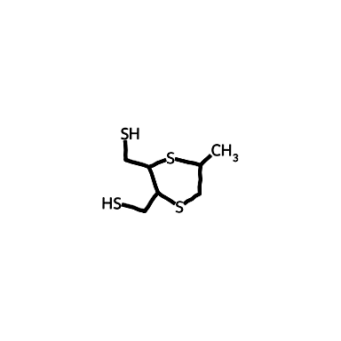 CC1CSC(CS)C(CS)S1